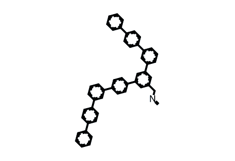 C=NCc1cc(-c2ccc(-c3cccc(-c4ccc(-c5ccccc5)cc4)c3)cc2)cc(-c2cccc(-c3ccc(-c4ccccc4)cc3)c2)c1